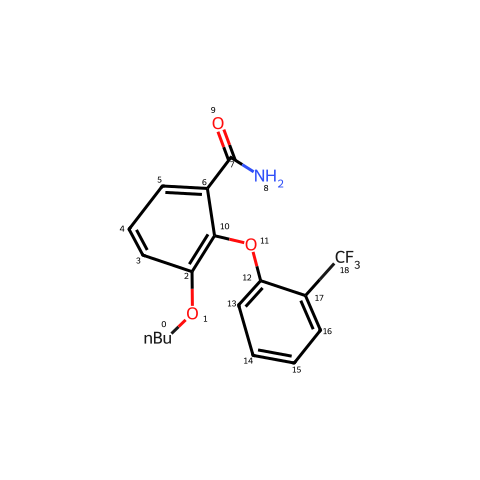 CCCCOc1cccc(C(N)=O)c1Oc1ccccc1C(F)(F)F